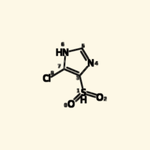 O=[SH](=O)c1nc[nH]c1Cl